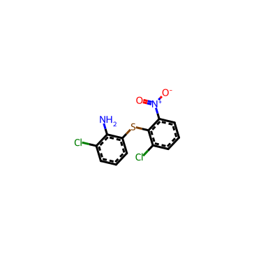 Nc1c(Cl)cccc1Sc1c(Cl)cccc1[N+](=O)[O-]